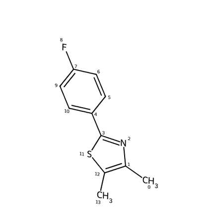 Cc1nc(-c2ccc(F)cc2)sc1C